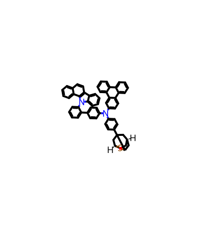 c1ccc(-n2c3ccccc3c3ccc4ccccc4c32)c(-c2ccc(N(c3ccc(C45C[C@@H]6CC[C@@H](C4)SC5C6)cc3)c3ccc4c5ccccc5c5ccccc5c4c3)cc2)c1